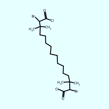 CC(C)(CCCCCCCCCCC(C)(C)C(Br)C(=O)Cl)C(Br)C(=O)Cl